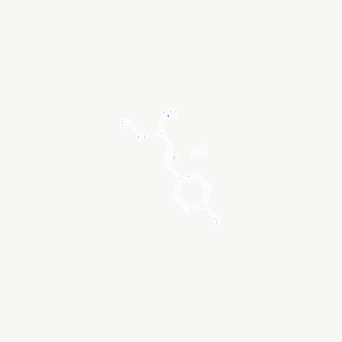 CCOC(=N)/C=C/c1ccc(F)cc1.Cl